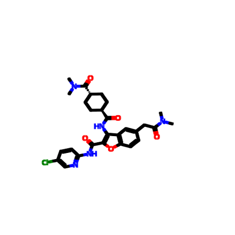 CN(C)C(=O)Cc1ccc2oc(C(=O)Nc3ccc(Cl)cn3)c(NC(=O)[C@H]3CC[C@H](C(=O)N(C)C)CC3)c2c1